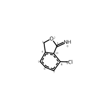 N=C1OCc2cccc(Cl)c21